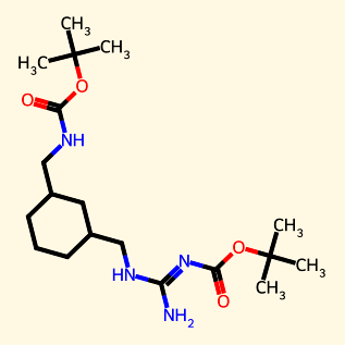 CC(C)(C)OC(=O)N=C(N)NCC1CCCC(CNC(=O)OC(C)(C)C)C1